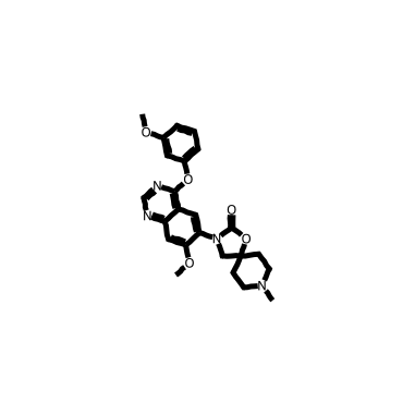 COc1cccc(Oc2ncnc3cc(OC)c(N4CC5(CCN(C)CC5)OC4=O)cc23)c1